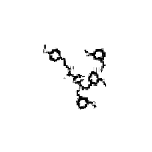 COc1ccc(CCNC(=O)c2coc(N(Cc3cccc(OC)c3)Cc3cccc(OC)c3)n2)cc1.COc1cccc(CN)c1